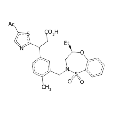 CC[C@@H]1CN(Cc2cc(C(CC(=O)O)c3ncc(C(C)=O)s3)ccc2C)S(=O)(=O)c2ccccc2O1